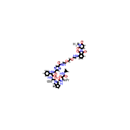 CCC[C@H](NC(=O)[C@@H]1C2CCC[C@H]2CN1C(=O)[C@@H](NC(=O)[C@@H](NC(=O)c1cnc(C(=O)NCCOCCOCCNc2cccc3c2C(=O)N(C2CCC(=O)N(C)C2=O)C3=O)cn1)C1CCCCC1)C(C)(C)C)C(=O)C(=O)NC1CC1